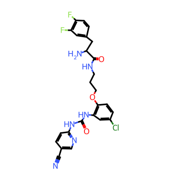 N#Cc1ccc(NC(=O)Nc2cc(Cl)ccc2OCCCNC(=O)C(N)Cc2ccc(F)c(F)c2)nc1